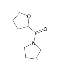 O=C(C1CCCO1)N1C[CH]CC1